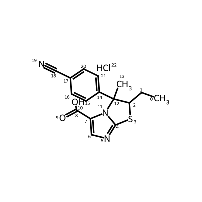 CCC1Sc2ncc(C(=O)O)n2C1(C)c1ccc(C#N)cc1.Cl